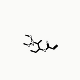 C=CC(=O)OC(CC)C(C)[SiH](OC)OC